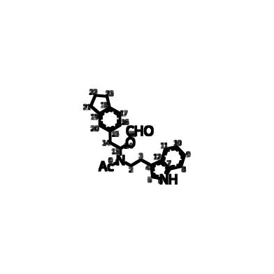 CC(=O)N(CCc1c[nH]c2ccccc12)C(Cc1ccc2c(c1)CCC2)OC=O